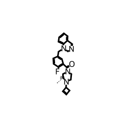 C[C@@H]1CN(C(=O)c2cc(CN3CN=Cc4ccccc43)ccc2F)CCN1C1C=CC1